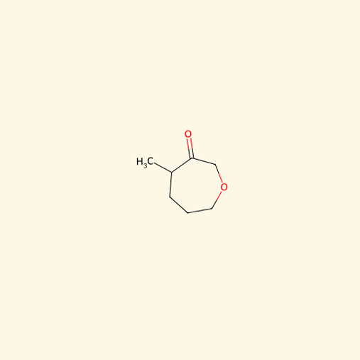 CC1CCCOCC1=O